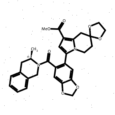 COC(=O)c1cc(-c2cc3c(cc2C(=O)N2Cc4ccccc4C[C@H]2C)OCO3)n2c1CC1(CC2)OCCO1